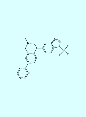 CN1Cc2cc(-c3ccncn3)ccc2C(c2ccc3c(C(F)(F)F)csc3c2)C1